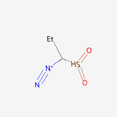 CCC([N+]#N)[SH](=O)=O